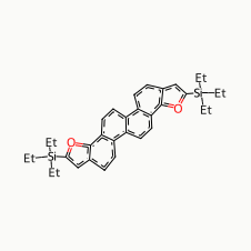 CC[Si](CC)(CC)c1cc2ccc3c4ccc5c(ccc6cc([Si](CC)(CC)CC)oc65)c4ccc3c2o1